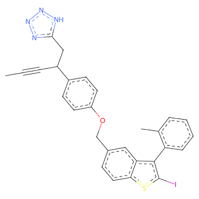 CC#CC(Cc1nnn[nH]1)c1ccc(OCc2ccc3sc(I)c(-c4ccccc4C)c3c2)cc1